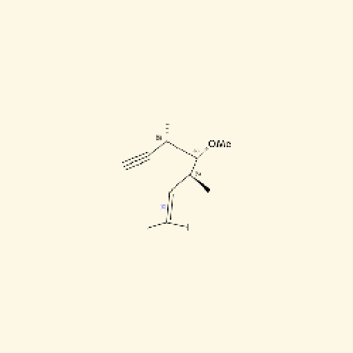 C#C[C@H](C)[C@H](OC)[C@@H](C)/C=C(/C)I